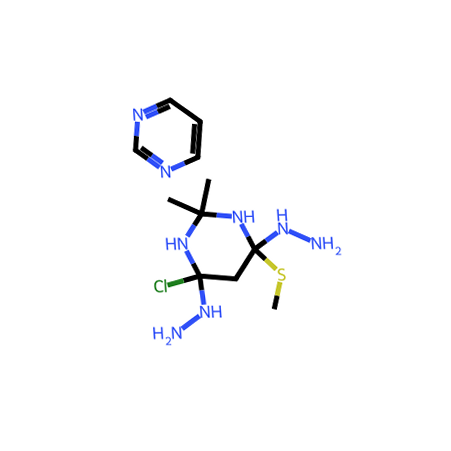 CSC1(NN)CC(Cl)(NN)NC(C)(C)N1.c1cncnc1